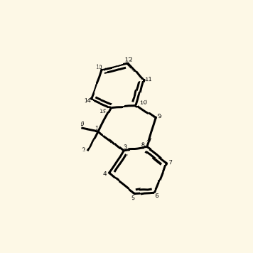 CC1(C)c2ccccc2Cc2ccccc21